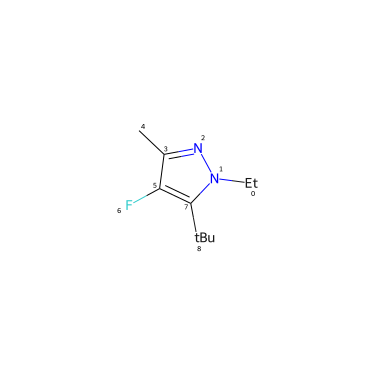 CCn1nc(C)c(F)c1C(C)(C)C